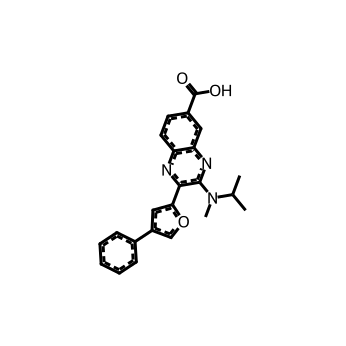 CC(C)N(C)c1nc2cc(C(=O)O)ccc2nc1-c1cc(-c2ccccc2)co1